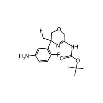 CC(C)(C)OC(=O)NC1=NC(CF)(c2cc(N)ccc2F)COC1